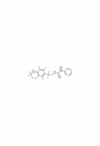 Cc1c(C)c(C(C)(C)COC(=O)Nc2ccccc2)c(C)c2c1OC(C)(C)CC2